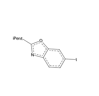 CCCC(C)c1nc2ccc(I)cc2o1